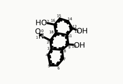 O=Nc1c2ccccc2c(O)c2c(O)ccc(O)c12